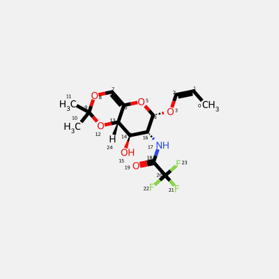 C/C=C\O[C@H]1OC2=COC(C)(C)O[C@H]2[C@H](O)[C@H]1NC(=O)C(F)(F)F